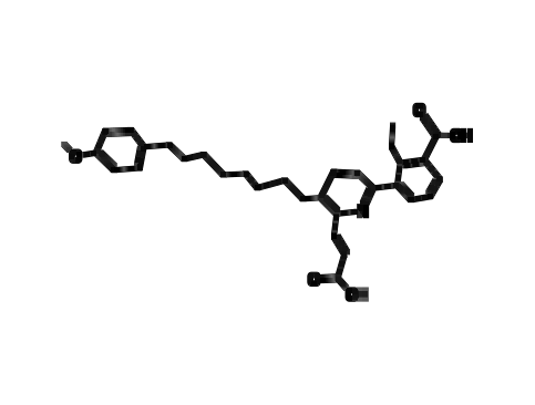 CCc1c(C(=O)O)cccc1-c1ccc(CCCCCCCCc2ccc(OC)cc2)c(C=CC(=O)O)n1